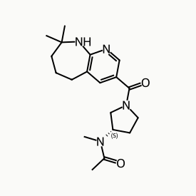 CC(=O)N(C)[C@H]1CCN(C(=O)c2cnc3c(c2)CCCC(C)(C)N3)C1